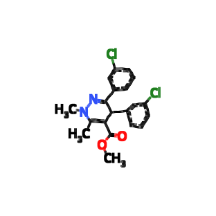 COC(=O)C1=C(C)N(C)N=C(c2cccc(Cl)c2)C1c1cccc(Cl)c1